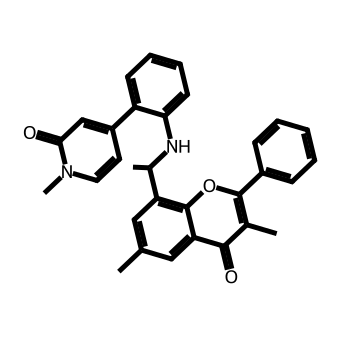 Cc1cc(C(C)Nc2ccccc2-c2ccn(C)c(=O)c2)c2oc(-c3ccccc3)c(C)c(=O)c2c1